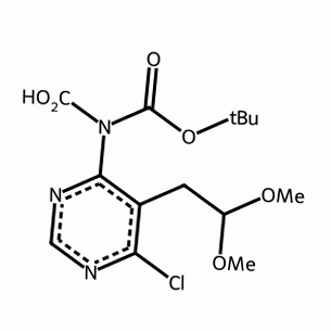 COC(Cc1c(Cl)ncnc1N(C(=O)O)C(=O)OC(C)(C)C)OC